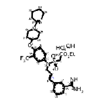 CCOC(=O)CS(=O)(=O)N(C/C=C/c1cccc(C(=N)N)c1)c1ccc(OC2CCN(C3=NCCCC3)CC2)c(C(F)(F)F)c1.Cl.Cl